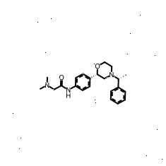 C[C@H](c1ccccc1)N1CCO[C@@H](c2ccc(NC(=O)CN(C)C)cc2)C1